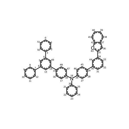 c1ccc(-c2cc(-c3ccccc3)cc(-c3ccc(N(c4ccccc4)c4ccc(-c5cccc(-c6cc7ccccc7o6)c5)cc4)cc3)c2)cc1